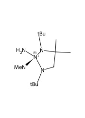 CN[N@+]1(N)N(C(C)(C)C)CC(C)(C)N1C(C)(C)C